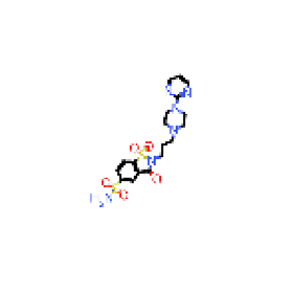 NS(=O)(=O)c1ccc2c(c1)C(=O)N(CCCN1CCN(c3ncccn3)CC1)S2(=O)=O